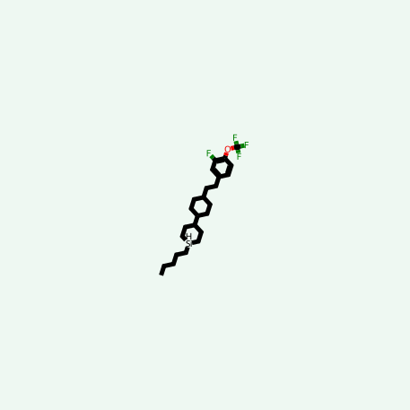 CCCCC[SiH]1CCC(C2CCC(CCc3ccc(OC(F)(F)F)c(F)c3)CC2)CC1